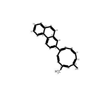 Cc1ccc(-c2ccc3c(ccc4ccccc43)c2)ccccc(I)c1